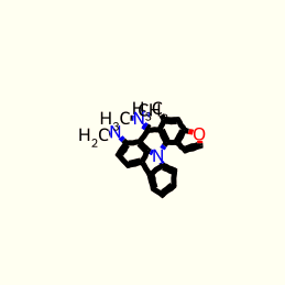 C=Nc1ccc2c3ccccc3n3c4c(c(C)cc5occc54)c(=[N+](C)C)c1c23